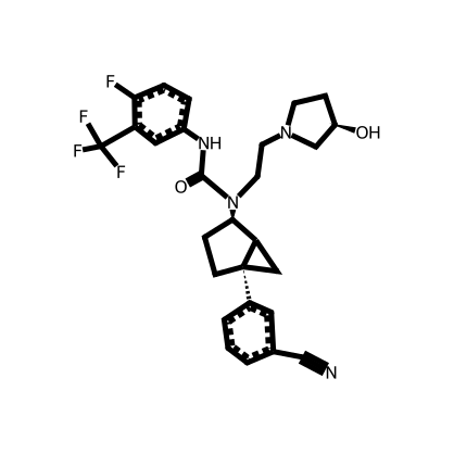 N#Cc1cccc([C@]23CC[C@@H](N(CCN4CC[C@@H](O)C4)C(=O)Nc4ccc(F)c(C(F)(F)F)c4)C2C3)c1